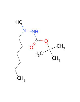 [CH]N(CCCCCC)NC(=O)OC(C)(C)C